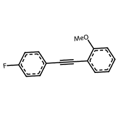 COc1ccccc1C#Cc1ccc(F)cc1